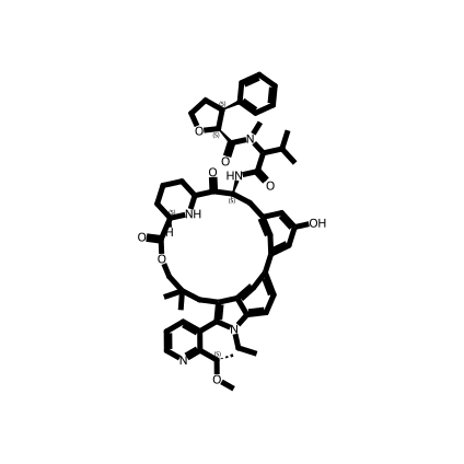 CCn1c(-c2cccnc2[C@H](C)OC)c2c3cc(ccc31)-c1cc(O)cc(c1)C[C@H](NC(=O)C(C(C)C)N(C)C(=O)[C@H]1OCC[C@H]1c1ccccc1)C(=O)C1CCC[C@H](N1)C(=O)OCC(C)(C)C2